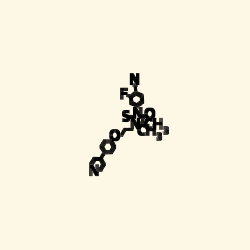 CC1(C)C(=O)N(c2ccc(C#N)c(F)c2)C(=S)N1CCCOc1ccc(-c2ccncc2)cc1